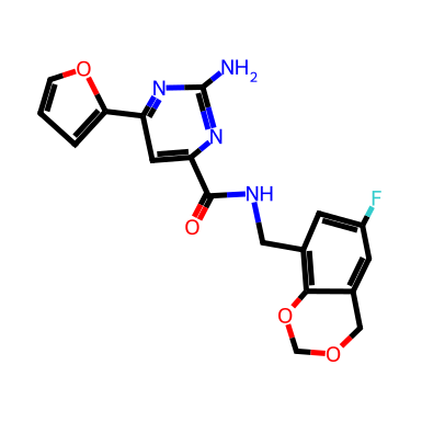 Nc1nc(C(=O)NCc2cc(F)cc3c2OCOC3)cc(-c2ccco2)n1